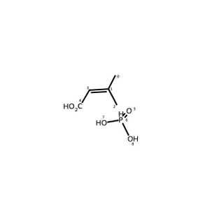 CC(C)=CC(=O)O.O=[PH](O)O